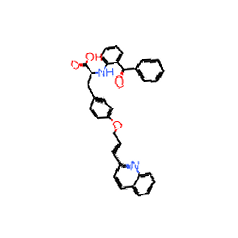 O=C(c1ccccc1)c1ccccc1NC(Cc1ccc(OCC=Cc2ccc3ccccc3n2)cc1)C(=O)O